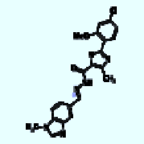 COc1cc(Cl)ccc1-c1nc(C)c(C(=O)N/N=C/c2ccc3c(c2)ncn3C)s1